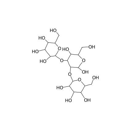 OCC1OC(OC2C(O)OC(CO)C(O)C2OC2OC(CO)C(O)C(O)C2O)C(O)C(O)C1O